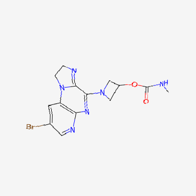 CNC(=O)OC1CN(C2=Nc3ncc(Br)cc3N3CCN=C23)C1